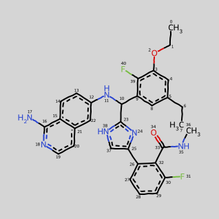 CCOc1cc(CC)cc(C(Nc2ccc3c(N)nccc3c2)c2nc(-c3cccc(F)c3C(=O)NC)c[nH]2)c1F